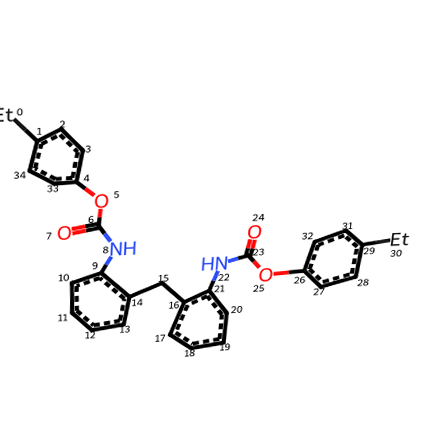 CCc1ccc(OC(=O)Nc2ccccc2Cc2ccccc2NC(=O)Oc2ccc(CC)cc2)cc1